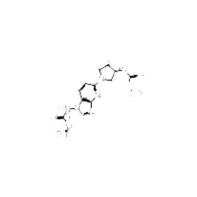 CC(C)(C)OC(=O)NC1CCN(c2ccc3c(ncn3NC(=O)OC(C)(C)C)n2)C1